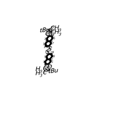 CC(C)(C)[Si](C)(C)Oc1ccc2cc(SSc3ccc4cc(O[Si](C)(C)C(C)(C)C)ccc4c3)ccc2c1